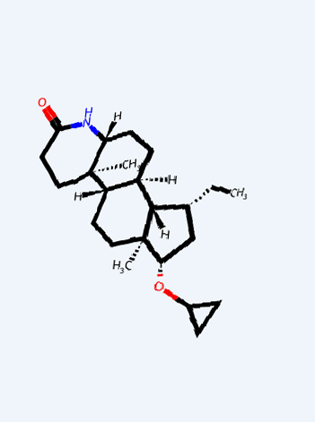 CC[C@@H]1C[C@H](OC2CC2)[C@@]2(C)CC[C@H]3[C@@H](CC[C@H]4NC(=O)CC[C@@]43C)[C@H]12